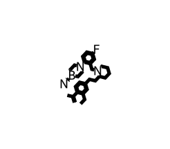 C=C(C)c1ccc(CCC2CCCCN2Cc2cc(F)ccc2N2CCB(C#N)CC2)cc1CC